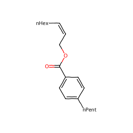 CCCCCC/C=C\COC(=O)c1ccc(CCCCC)cc1